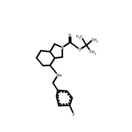 CC(C)(C)OC(=O)N1CC2CCCC(NCc3ccc(F)cc3)C2C1